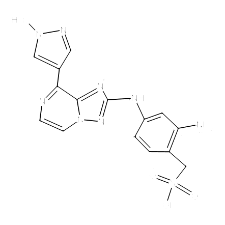 Cn1cc(-c2nccn3nc(Nc4ccc(CS(=O)(=O)O)c(N)c4)nc23)cn1